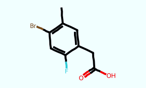 Cc1cc(CC(=O)O)c(F)cc1Br